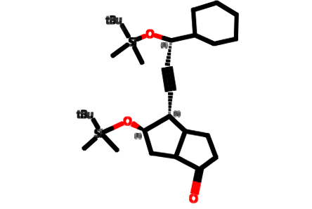 CC(C)(C)[Si](C)(C)O[C@@H](C#C[C@@H]1C2CCC(=O)C2C[C@H]1O[Si](C)(C)C(C)(C)C)C1CCCCC1